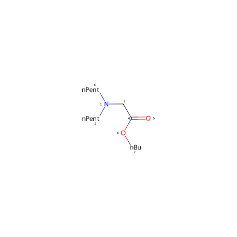 CCCCCN(CCCCC)CC(=O)OCCCC